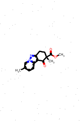 COC(=O)C1(C)CCc2nn3cc(C)ccc3c2C1=O